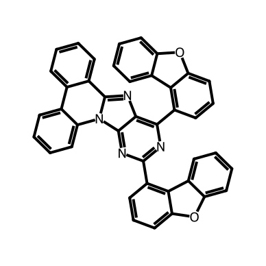 c1ccc2c(c1)oc1cccc(-c3nc(-c4cccc5oc6ccccc6c45)c4nc5c6ccccc6c6ccccc6n5c4n3)c12